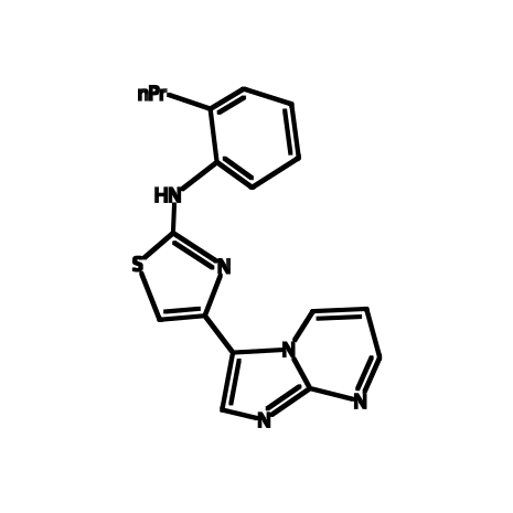 CCCc1ccccc1Nc1nc(-c2cnc3ncccn23)cs1